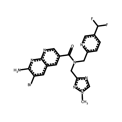 Cn1cnc(CN(Cc2ccc(C(F)F)cn2)C(=O)c2cnc3nc(N)c(Br)cc3c2)n1